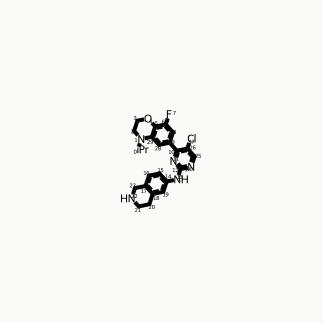 CC(C)N1CCOc2c(F)cc(-c3nc(Nc4ccc5c(c4)CCNC5)ncc3Cl)cc21